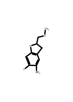 Bc1cc2c(cc1F)OC(COC)C2